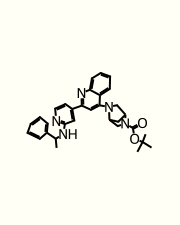 CC(Nc1cc(-c2cc(N3CC4CC3CN4C(=O)OC(C)(C)C)c3ccccc3n2)ccn1)c1ccccc1